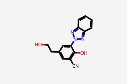 N#Cc1cc(CCO)cc(-n2nc3ccccc3n2)c1O